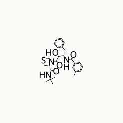 Cc1cccc(C(=O)N[C@@H](Cc2ccccc2)[C@H](O)C(=O)N2CSC[C@H]2C(=O)NC(C)(C)C)c1